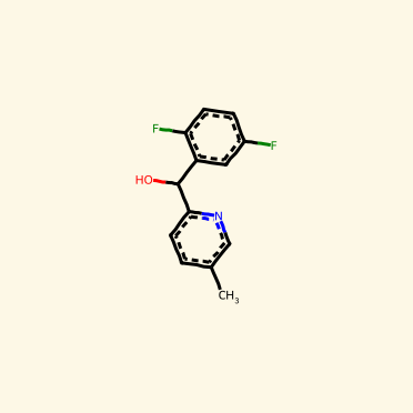 Cc1ccc(C(O)c2cc(F)ccc2F)nc1